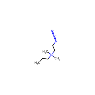 CCC[N+](C)(C)CCN=[N+]=[N-]